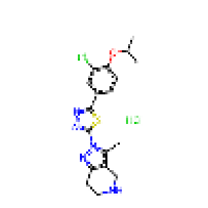 Cc1c2c(nn1-c1nnc(-c3ccc(OC(C)C)c(Cl)c3)s1)CCNC2.Cl